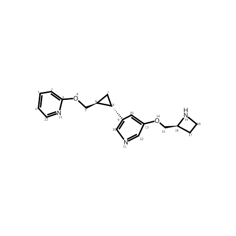 c1ccc(OC[C@H]2C[C@@H]2c2cncc(OC[C@@H]3CCN3)c2)nc1